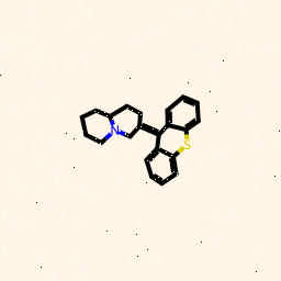 c1ccc2c(c1)Sc1ccccc1C2=C1CCC2CCCCN2C1